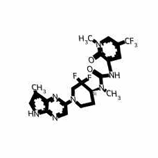 Cc1c[nH]c2ncc(N3CC[C@H](N(C)C(=O)Nc4cc(C(F)(F)F)cn(C)c4=O)C(F)(F)C3)nc12